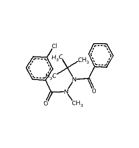 CN(C(=O)c1cccc(Cl)c1)N(C(=O)c1ccccc1)C(C)(C)C